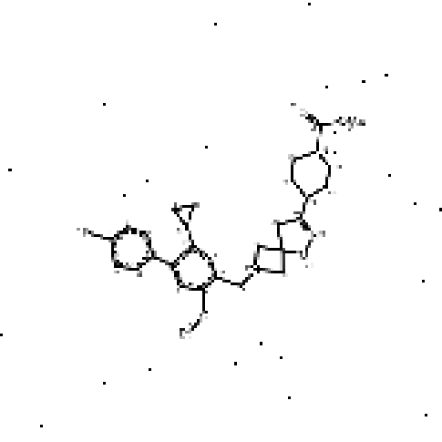 CCOc1cc(-c2ccc(F)cc2)c(C2CC2)cc1CN1CC2(CC(C3CCC(C(=O)OC)CC3)=NO2)C1